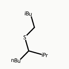 CCCCC(SCC(C)CC)C(C)C